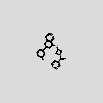 N#Cc1cccc(-c2cc(OC3CN(C(=O)c4ccnnc4)C3)c3cnccc3c2)c1